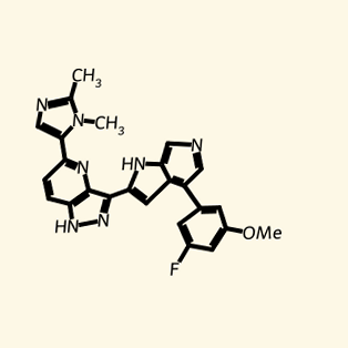 COc1cc(F)cc(-c2cncc3[nH]c(-c4n[nH]c5ccc(-c6cnc(C)n6C)nc45)cc23)c1